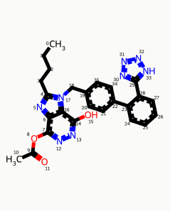 CCCCc1nc2c(OC(C)=O)nnc(O)c2n1Cc1ccc(-c2ccccc2-c2nnn[nH]2)cc1